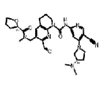 CN(Cc1cc2c(nc1C=O)N(C(=O)Nc1cc(N3CC[C@H](N(C)C)C3)c(C#N)cn1)CCC2)C(=O)[C@H]1CCCO1